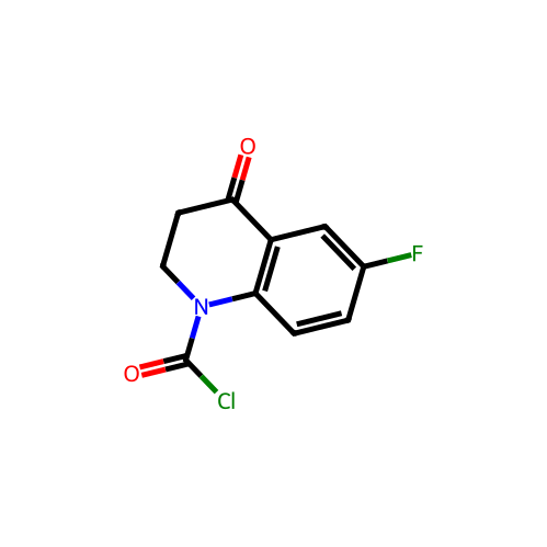 O=C1CCN(C(=O)Cl)c2ccc(F)cc21